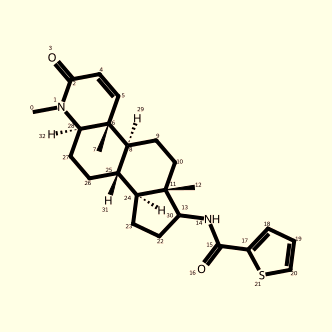 CN1C(=O)C=C[C@]2(C)[C@H]3CC[C@]4(C)C(NC(=O)c5cccs5)CC[C@H]4[C@@H]3CC[C@@H]12